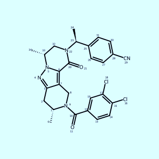 C[C@@H]1Cc2nn3c(c2CN1C(=O)c1ccc(Cl)c(Cl)c1)C(=O)N([C@@H](C)c1ccc(C#N)cc1)C[C@H]3C